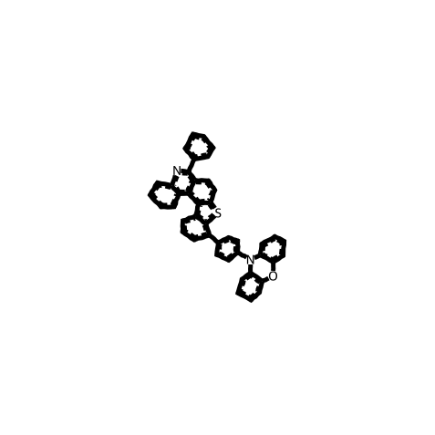 c1ccc(-c2nc3ccccc3c3c2ccc2sc4c(-c5ccc(N6c7ccccc7Oc7ccccc76)cc5)cccc4c23)cc1